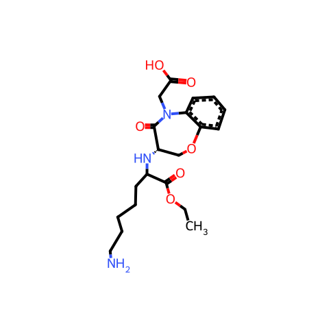 CCOC(=O)C(CCCCCN)N[C@H]1COc2ccccc2N(CC(=O)O)C1=O